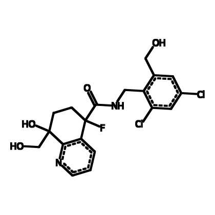 O=C(NCc1c(Cl)cc(Cl)cc1CO)C1(F)CCC(O)(CO)c2ncccc21